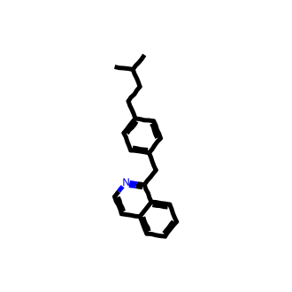 CC(C)CCc1ccc(Cc2nccc3ccccc23)cc1